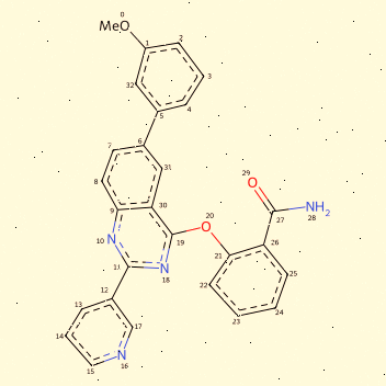 COc1cccc(-c2ccc3nc(-c4cccnc4)nc(Oc4ccccc4C(N)=O)c3c2)c1